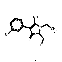 CCN1C(N)=C(c2cccc(Br)c2)C(=O)C1CF